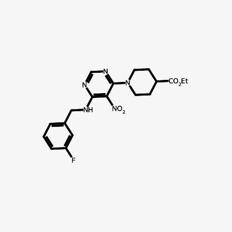 CCOC(=O)C1CCN(c2ncnc(NCc3cccc(F)c3)c2[N+](=O)[O-])CC1